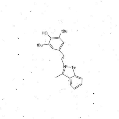 Cc1c2ccccc2[te][n+]1C=Cc1cc(C(C)(C)C)c(O)c(C(C)(C)C)c1